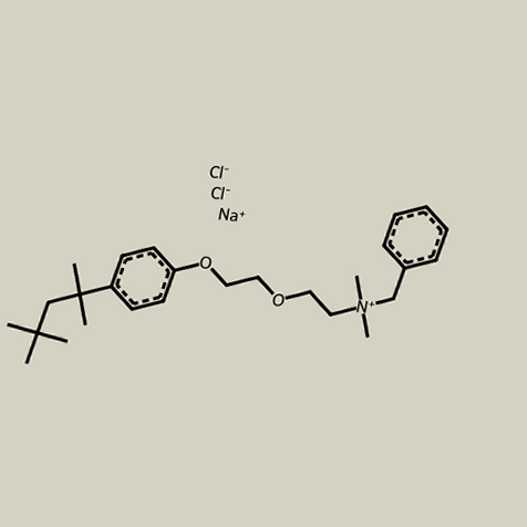 CC(C)(C)CC(C)(C)c1ccc(OCCOCC[N+](C)(C)Cc2ccccc2)cc1.[Cl-].[Cl-].[Na+]